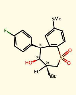 CCCC[C@]1(CC)CS(=O)(=O)c2ccc(SC)cc2[C@H](c2ccc(F)cc2)[C@@H]1O